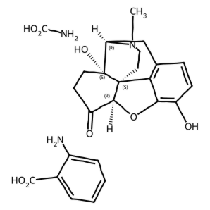 CN1CC[C@]23c4c5ccc(O)c4O[C@H]2C(=O)CC[C@@]3(O)[C@H]1C5.NC(=O)O.Nc1ccccc1C(=O)O